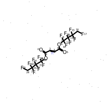 O=C(/C=C/C(=O)OC(F)(F)C(F)(F)C(F)(F)CF)OC(F)(F)C(F)(F)C(F)(F)CF